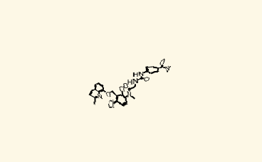 Cc1ccc2cccc(OCc3c(Cl)ccc(N(C)C(=O)CNC(=O)Nc4ccc(C(=O)N(C)C)cc4)c3Cl)c2n1